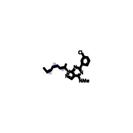 C\C=C/C=C\C=C(/C)n1ncc2c(NC)nc(-c3cccc(Cl)c3)nc21